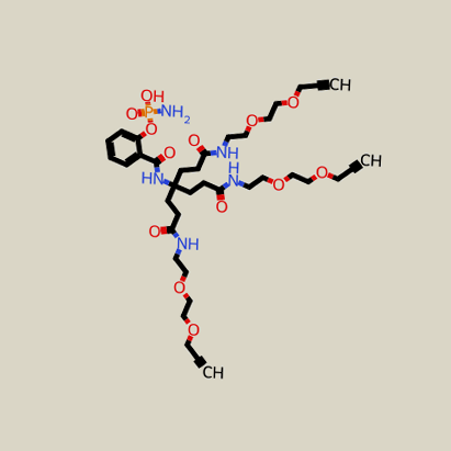 C#CCOCCOCCNC(=O)CCC(CCC(=O)NCCOCCOCC#C)(CCC(=O)NCCOCCOCC#C)NC(=O)c1ccccc1OP(N)(=O)O